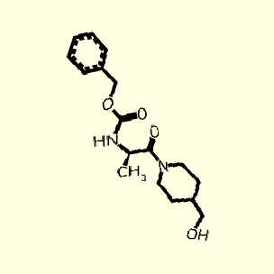 C[C@@H](NC(=O)OCc1ccccc1)C(=O)N1CCC(CO)CC1